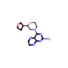 Nc1nc(N2CCOC(c3ccoc3)C2)c2nccnc2n1